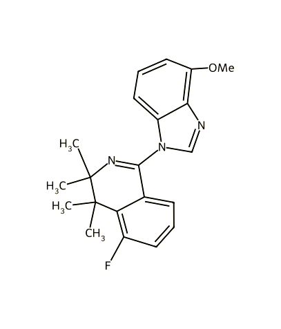 COc1cccc2c1ncn2C1=NC(C)(C)C(C)(C)c2c(F)cccc21